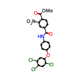 COC(=O)c1ccc(C(=O)Nc2ccc(Oc3cc(Cl)c(Cl)cc3Cl)cc2)cc1[N+](=O)[O-]